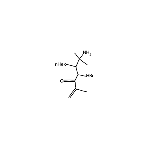 Br.C=C(C)C(=O)C(C)C(CCCCCC)C(C)(C)N